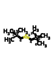 C[Si](C)(C)CSC[Si](C)(C)C